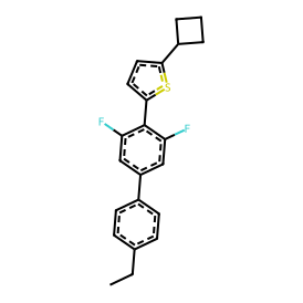 CCc1ccc(-c2cc(F)c(-c3ccc(C4CCC4)s3)c(F)c2)cc1